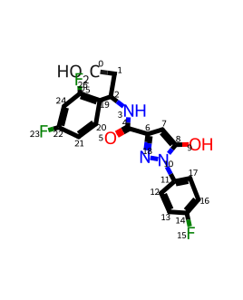 O=C(O)CC(NC(=O)c1cc(O)n(-c2ccc(F)cc2)n1)c1ccc(F)cc1F